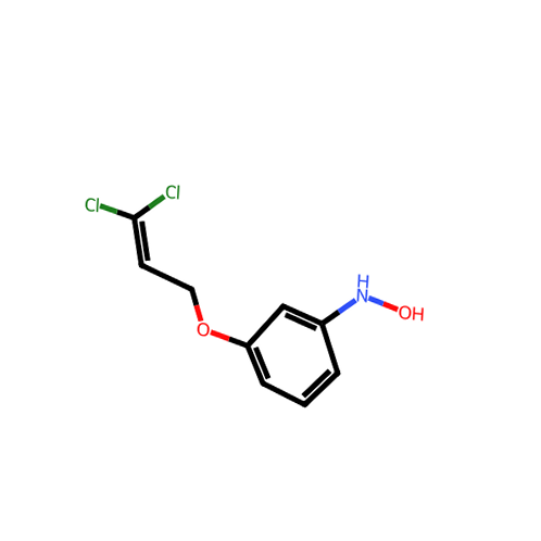 ONc1cccc(OCC=C(Cl)Cl)c1